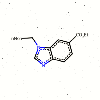 CCCCCCCCCCn1cnc2ccc(C(=O)OCC)cc21